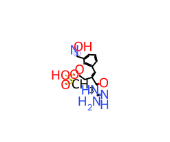 CS(=O)(=O)O.N=C(N)NC(=O)C1=Cc2cccc(/C=N\O)c2OCC1